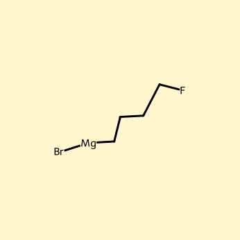 FCCC[CH2][Mg][Br]